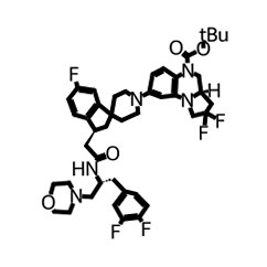 CC(C)(C)OC(=O)N1C[C@@H]2CC(F)(F)CN2c2cc(N3CCC4(CC3)C[C@@H](CC(=O)N[C@H](Cc3ccc(F)c(F)c3)CN3CCOCC3)c3ccc(F)cc34)ccc21